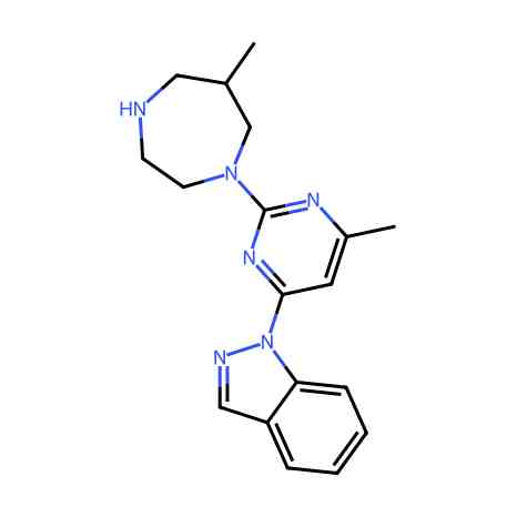 Cc1cc(-n2ncc3ccccc32)nc(N2CCNCC(C)C2)n1